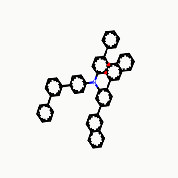 c1ccc(-c2ccc(N(c3ccc(-c4cccc(-c5ccccc5)c4)cc3)c3cc(-c4ccc5ccccc5c4)ccc3-c3ccc4ccccc4c3)cc2)cc1